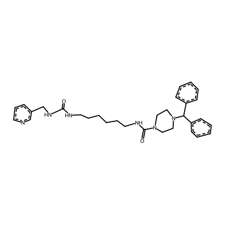 O=C(NCCCCCCNC(=O)N1CCN(C(c2ccccc2)c2ccccc2)CC1)NCc1cccnc1